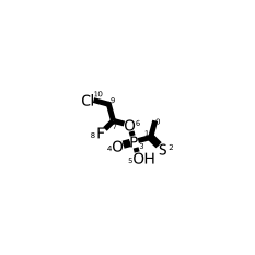 CC(=S)P(=O)(O)OC(F)CCl